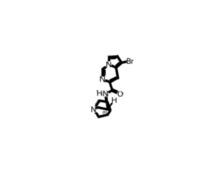 O=C(N[C@H]1CN2CCC1CC2)c1cc2c(Br)ccn2cn1